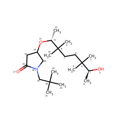 C[C@H](O)C(C)(C)CCC(C)(C)[C@@H](C)OC1CC(=O)N(CC(C)(C)C)C1